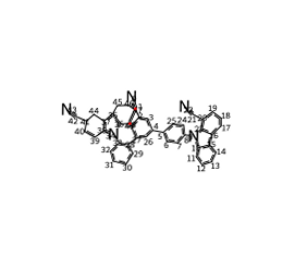 N#Cc1cc(-c2ccc(-n3c4ccccc4c4cccc(C#N)c43)cc2)cc(-c2ccccc2-n2c3c(c4c2C=CC(C#N)C4)CCC=C3)c1